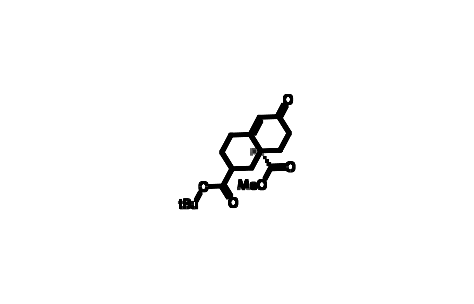 COC(=O)[C@@]12CCC(=O)C=C1CCC(C(=O)OC(C)(C)C)C2